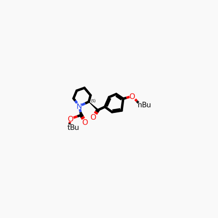 CCCCOc1ccc(C(=O)[C@@H]2CCCCN2C(=O)OC(C)(C)C)cc1